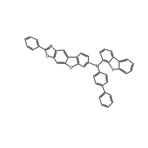 c1ccc(-c2ccc(N(c3ccc4c(c3)oc3cc5oc(-c6ccccc6)nc5cc34)c3cccc4c3sc3ccccc34)cc2)cc1